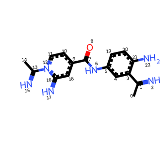 CC(=N)c1cc(NC(=O)c2ccn(C(C)=N)c(=N)c2)ccc1N